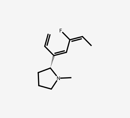 C=C/C(=C\C(F)=C/C)[C@H]1CCCN1C